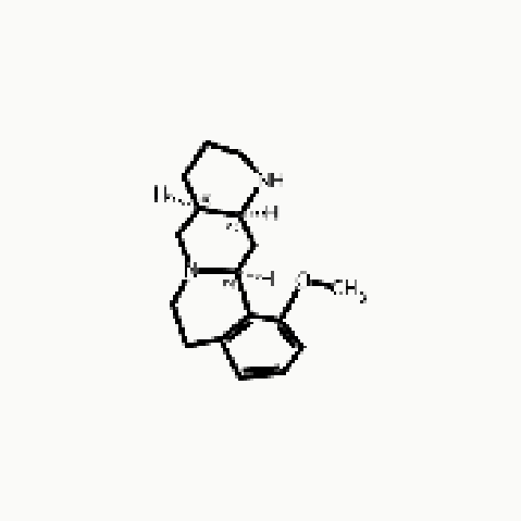 COc1cccc2c1[C@@H]1C[C@@H]3NCCC[C@@H]3CN1CC2